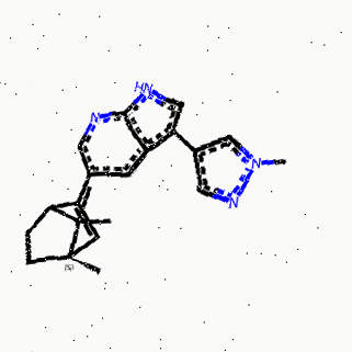 Cn1cc(-c2c[nH]c3ncc(C4=C[C@]5(C)CCC4C5(C)C)cc23)cn1